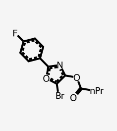 CCCC(=O)Oc1nc(-c2ccc(F)cc2)oc1Br